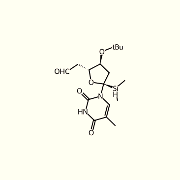 Cc1cn([C@@]2([SiH](C)C)C[C@H](OC(C)(C)C)[C@@H](CC=O)O2)c(=O)[nH]c1=O